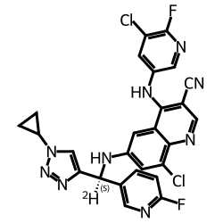 [2H][C@](Nc1cc(Cl)c2ncc(C#N)c(Nc3cnc(F)c(Cl)c3)c2c1)(c1ccc(F)nc1)c1cn(C2CC2)nn1